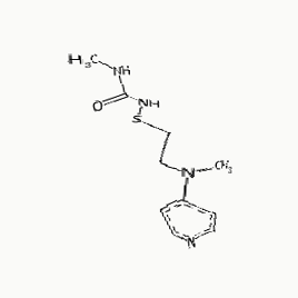 CNC(=O)NSCCN(C)c1ccncc1